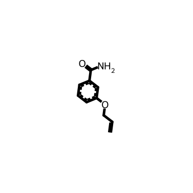 C=CCOc1cccc(C(N)=O)c1